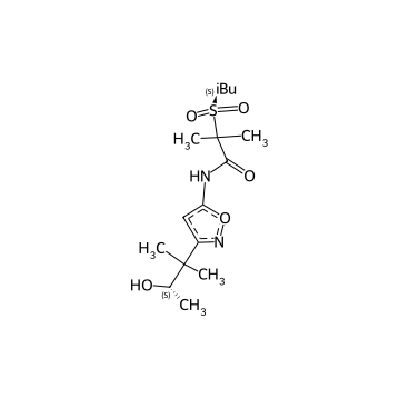 CC[C@H](C)S(=O)(=O)C(C)(C)C(=O)Nc1cc(C(C)(C)[C@H](C)O)no1